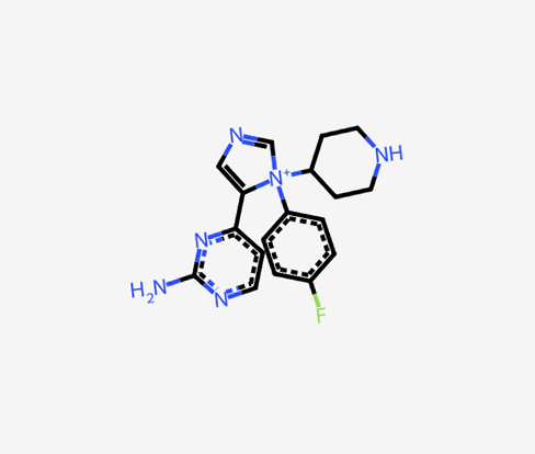 Nc1nccc(C2=CN=C[N+]2(c2ccc(F)cc2)C2CCNCC2)n1